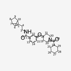 O=C(NCCC1CC2CCC1C2)c1cccc(OC2CCN(C(=O)C3CCCCC3)CC2)c1